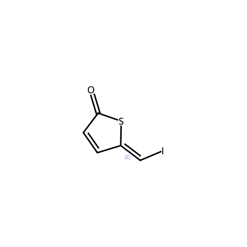 O=C1C=C/C(=C/I)S1